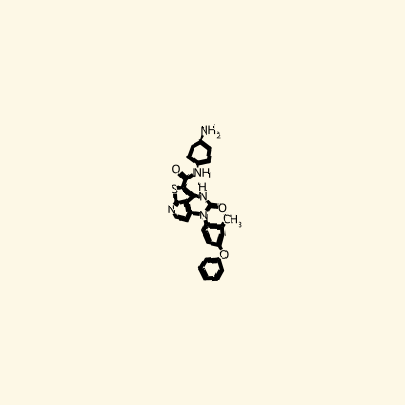 Cc1cc(Oc2ccccc2)ccc1N1C(=O)Nc2c(C(=O)N[C@H]3CC[C@H](N)CC3)sc3nccc1c23